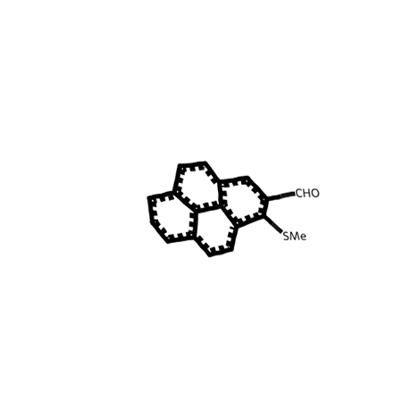 CSc1c(C=O)cc2ccc3cccc4ccc1c2c34